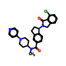 CN(C(=O)c1ccc2c(c1)CC[C@H]2N1Cc2cccc(Cl)c2C1=O)C1CCN(c2ccncc2)CC1